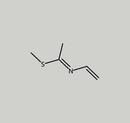 C=C/N=C(\C)SC